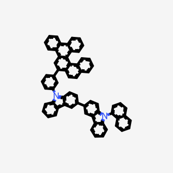 c1cc(-c2cc3c4ccccc4c4ccccc4c3c3c2ccc2ccccc23)cc(-n2c3ccccc3c3cc(-c4ccc5c(c4)c4ccccc4n5-c4cccc5ccccc45)ccc32)c1